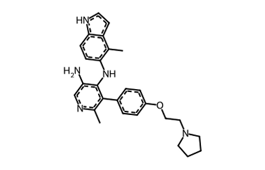 Cc1ncc(N)c(Nc2ccc3[nH]ccc3c2C)c1-c1ccc(OCCN2CCCC2)cc1